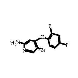 Nc1cc(Oc2ccc(F)cc2F)c(Br)cn1